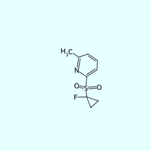 Cc1cccc(S(=O)(=O)C2(F)CC2)n1